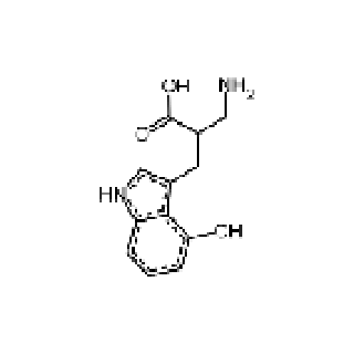 NCC(Cc1c[nH]c2cccc(O)c12)C(=O)O